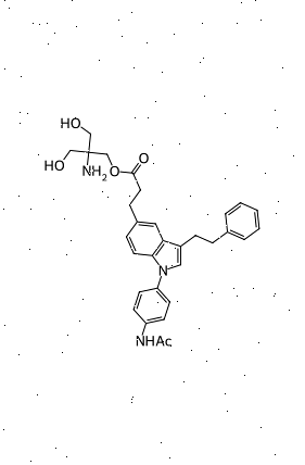 CC(=O)Nc1ccc(-n2cc(CCc3ccccc3)c3cc(CCC(=O)OCC(N)(CO)CO)ccc32)cc1